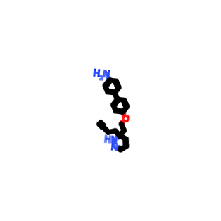 C#CCCC1(CCOc2ccc(-c3ccc(N)cc3)cc2)C=CC=NN1